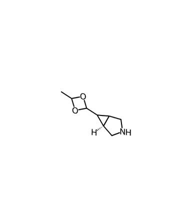 CC1OC(C2C3CNC[C@H]32)O1